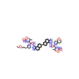 CCOCCC[C@@H]1C[C@@H](c2nc3ccc4cc(-c5ccc6c(ccc7nc([C@@H]8C[C@@]9(CCCOC9)CN8C(=O)[C@@H](NC(=O)OC)C(C)C)[nH]c76)c5)ccc4c3[nH]2)N(C(=O)[C@@H](NC(=O)OC)C(C)C)C1